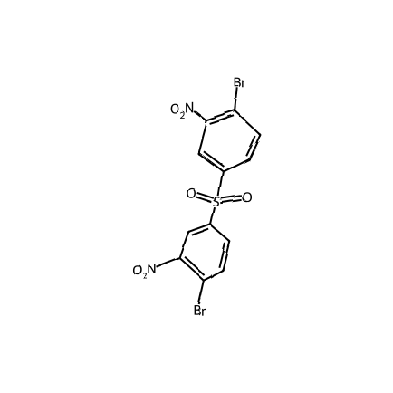 O=[N+]([O-])c1cc(S(=O)(=O)c2ccc(Br)c([N+](=O)[O-])c2)ccc1Br